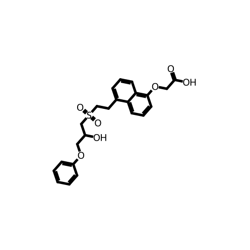 O=C(O)COc1cccc2c(CCS(=O)(=O)CC(O)COc3ccccc3)cccc12